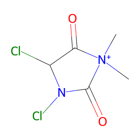 C[N+]1(C)C(=O)C(Cl)N(Cl)C1=O